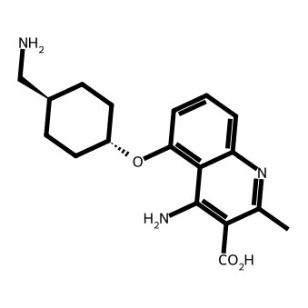 Cc1nc2cccc(O[C@H]3CC[C@H](CN)CC3)c2c(N)c1C(=O)O